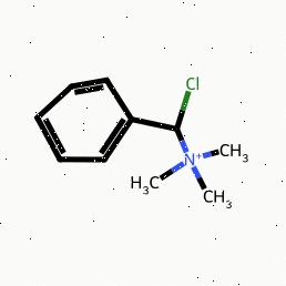 C[N+](C)(C)C(Cl)c1ccccc1